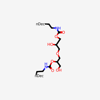 CCCCCCCCCCCCNC(=O)OCC(O)COCC(CO)OC(=O)NCCCCCCCCCCCC